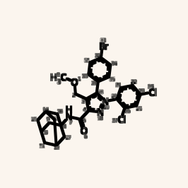 COCc1c(C(=O)NC23CC4CC(CC(C4)C2)C3)nn(-c2ccc(Cl)cc2Cl)c1-c1ccc(Br)cc1